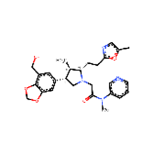 CCCCN(C(=O)CN1C[C@H](c2cc(CO)c3c(c2)OCO3)[C@@H](C(=O)O)[C@@H]1CCc1ncc(C)o1)c1cccnc1